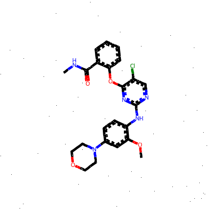 CNC(=O)c1ccccc1Oc1nc(Nc2ccc(N3CCOCC3)cc2OC)ncc1Cl